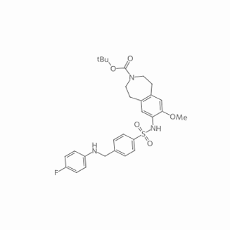 COc1cc2c(cc1NS(=O)(=O)c1ccc(CNc3ccc(F)cc3)cc1)CCN(C(=O)OC(C)(C)C)CC2